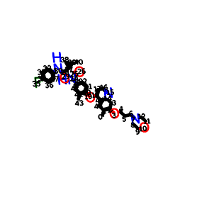 CC1=C(OCCCN2CCOCC2)CC2N=CC=C(Oc3ccc(NC(=O)[C@]4(C(=O)Nc5ccc(F)cc5)C[C@H]4C)cc3C)C2=C1